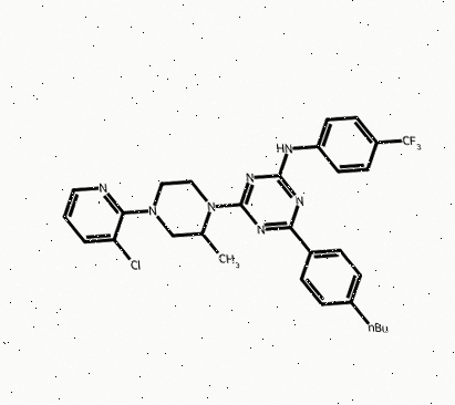 CCCCc1ccc(-c2nc(Nc3ccc(C(F)(F)F)cc3)nc(N3CCN(c4ncccc4Cl)CC3C)n2)cc1